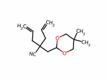 C=CCC(C#N)(CC=C)CC1OCC(C)(C)CO1